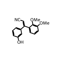 COc1cccc(C(=CC#N)c2cccc(O)c2)c1OC